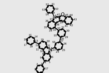 c1ccc(-c2ccc3c(c2)c2cc(-c4ccccc4)ccc2n3-c2cccc(-c3cccc(-c4cccc5c4c4c6ccccc6oc4n5-c4ccccc4)c3)c2)cc1